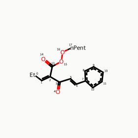 CCC=C(C(=O)C=Cc1ccccc1)C(=O)OOCCCCC